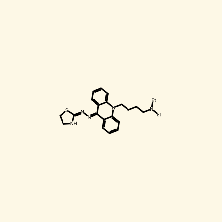 CCN(CC)CCCCn1c2ccccc2c(=NN=C2NCCS2)c2ccccc21